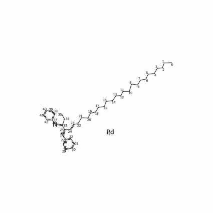 CCCCCCCCCCCCCCCCCCCCCCC/C=C/C(=N\c1ccccc1)C(/CC)=N/c1ccccc1.[Pd]